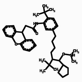 C[SiH](C)OC(C1CCCC1)C(CCCCc1ccc(C(C)(C)C)c(NC(=O)CC2c3ccccc3Oc3ccccc32)c1)C(C)(C)C